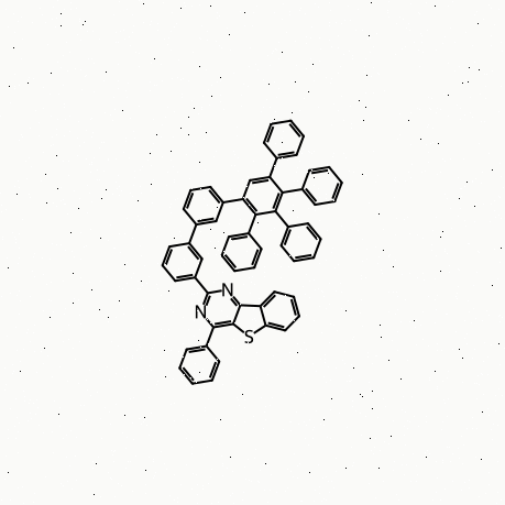 c1ccc(-c2cc(-c3cccc(-c4cccc(-c5nc(-c6ccccc6)c6sc7ccccc7c6n5)c4)c3)c(-c3ccccc3)c(-c3ccccc3)c2-c2ccccc2)cc1